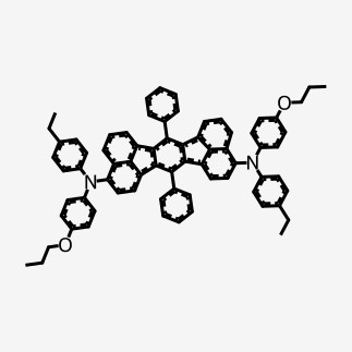 CCCOc1ccc(N(c2ccc(CC)cc2)c2ccc3c4c(-c5ccccc5)c5c6ccc(N(c7ccc(CC)cc7)c7ccc(OCCC)cc7)c7cccc(c5c(-c5ccccc5)c4c4cccc2c43)c76)cc1